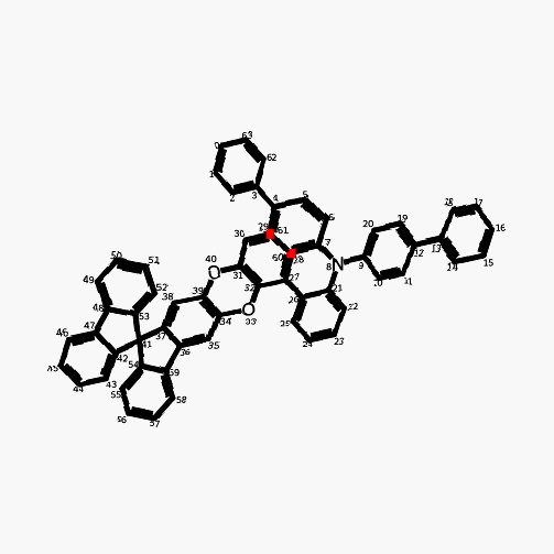 c1ccc(-c2ccc(N(c3ccc(-c4ccccc4)cc3)c3ccccc3-c3cccc4c3Oc3cc5c(cc3O4)C3(c4ccccc4-c4ccccc43)c3ccccc3-5)cc2)cc1